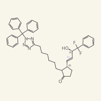 O=C1CC[C@H](/C=C/[C@@H](O)C(F)(F)c2ccccc2)C1CCCCCCc1nnn(C(c2ccccc2)(c2ccccc2)c2ccccc2)n1